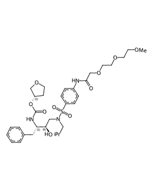 COCCOCCOCC(=O)Nc1ccc(S(=O)(=O)N(CC(C)C)C[C@@H](O)[C@H](Cc2ccccc2)NC(=O)O[C@H]2CCOC2)cc1